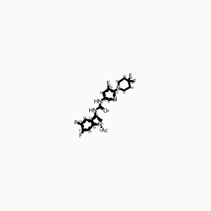 CC(=O)n1cc(NC(=O)Nc2cnc(N3CCC(F)(F)CC3)c(F)c2)c2cc(F)c(F)cc21